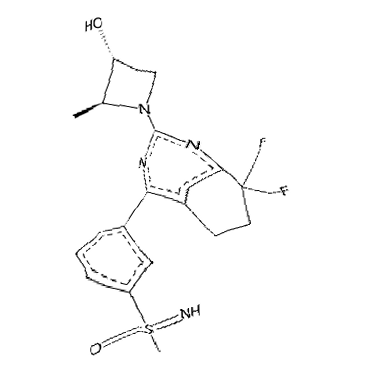 C[C@H]1[C@H](O)CN1c1nc(-c2cccc(S(C)(=N)=O)c2)c2c(n1)C(F)(F)CC2